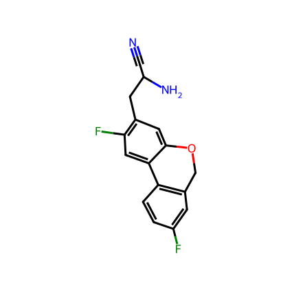 N#CC(N)Cc1cc2c(cc1F)-c1ccc(F)cc1CO2